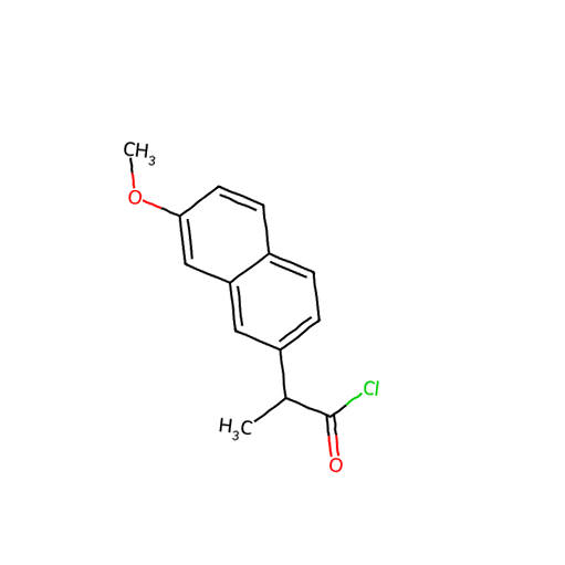 COc1ccc2ccc(C(C)C(=O)Cl)cc2c1